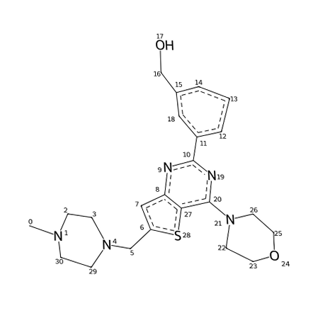 CN1CCN(Cc2cc3nc(-c4cccc(CO)c4)nc(N4CCOCC4)c3s2)CC1